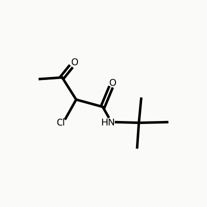 CC(=O)C(Cl)C(=O)NC(C)(C)C